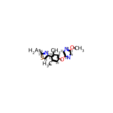 COc1cnc(Oc2cc(C)c(-c3csc([AsH2])n3)c(C)c2)cn1